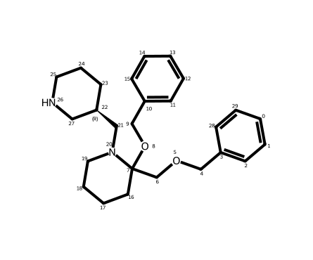 c1ccc(COCC2(OCc3ccccc3)CCCCN2C[C@@H]2CCCNC2)cc1